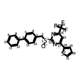 [O-][S+](Cc1ccc(-c2ccccc2)cc1)c1nc(-c2cccs2)cc(C(F)(F)F)n1